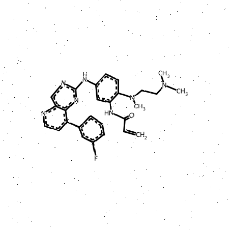 C=CC(=O)Nc1cc(Nc2ncc3nccc(-c4cccc(F)c4)c3n2)ccc1N(C)CCN(C)C